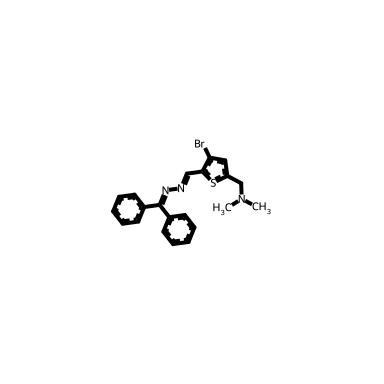 CN(C)Cc1cc(Br)c(C=NN=C(c2ccccc2)c2ccccc2)s1